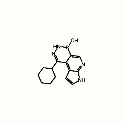 OB1NN=C(C2CCCCC2)c2c1cnc1[nH]ccc21